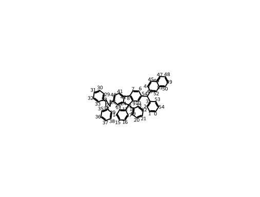 c1ccc(C(c2ccc3c(c2)C(c2ccccc2)(c2ccccc2)c2cc(N(c4ccccc4)c4ccccc4)ccc2-3)c2ccc3ccccc3c2)cc1